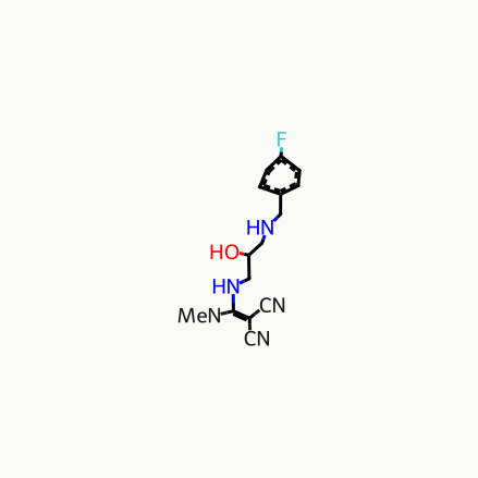 CNC(NCC(O)CNCc1ccc(F)cc1)=C(C#N)C#N